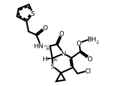 BOC(=O)C1=C(CCl)C2(CC2)S[C@@H]2[C@H](NC(=O)Cc3cccs3)C(=O)N12